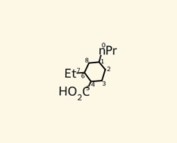 CCCC1CCC(C(=O)O)C(CC)C1